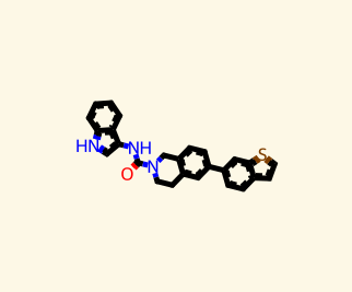 O=C(Nc1c[nH]c2ccccc12)N1CCc2cc(-c3ccc4ccsc4c3)ccc2C1